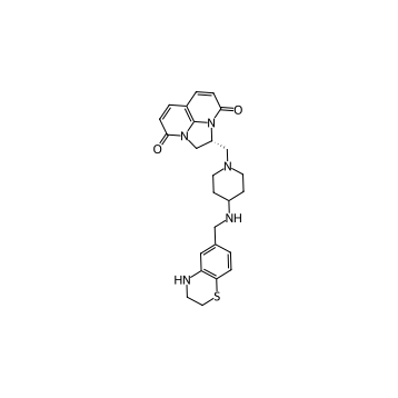 O=c1ccc2ccc(=O)n3c2n1C[C@H]3CN1CCC(NCc2ccc3c(c2)NCCS3)CC1